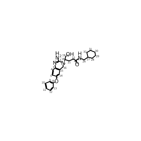 NC1=Nc2ccc(Oc3ccccc3)cc2CN1C(CO)CCC(=O)NCC1CCCCC1